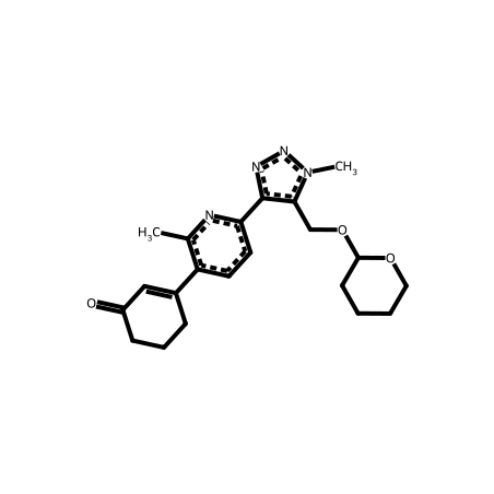 Cc1nc(-c2nnn(C)c2COC2CCCCO2)ccc1C1=CC(=O)CCC1